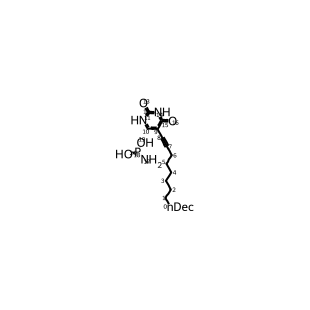 CCCCCCCCCCCCCCCCC#Cc1c[nH]c(=O)[nH]c1=O.NP(O)O